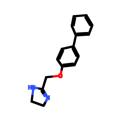 c1ccc(-c2ccc(OCC3=NCCN3)cc2)cc1